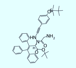 CC(C)(C)OC(=O)[C@@H](C(=C(c1ccccc1)c1ccccc1)c1ccccc1)N(NC#Cc1ccc(O[Si](C)(C)C(C)(C)C)cc1)C(=O)CN